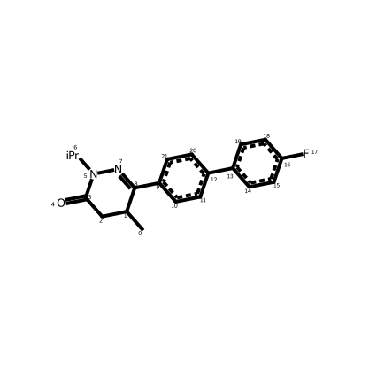 CC1CC(=O)N(C(C)C)N=C1c1ccc(-c2ccc(F)cc2)cc1